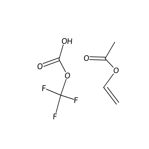 C=COC(C)=O.O=C(O)OC(F)(F)F